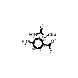 CC(C)(C)OC(N)=O.CCC(=O)c1ccc(C(F)(F)F)cc1